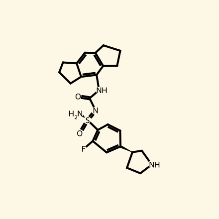 N[S@](=O)(=NC(=O)Nc1c2c(cc3c1CCC3)CCC2)c1ccc([C@@H]2CCNC2)cc1F